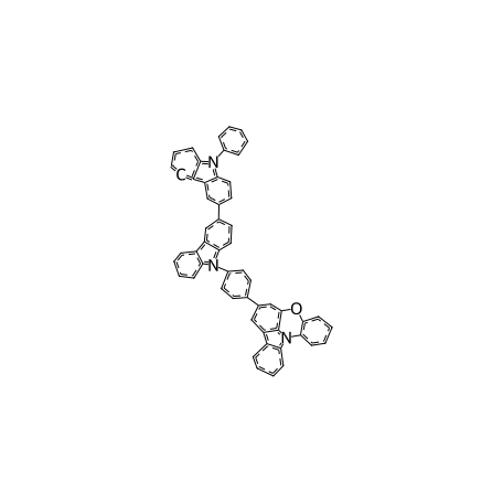 c1ccc(-n2c3ccccc3c3cc(-c4ccc5c(c4)c4ccccc4n5-c4ccc(-c5cc6c7c(c5)c5ccccc5n7-c5ccccc5O6)cc4)ccc32)cc1